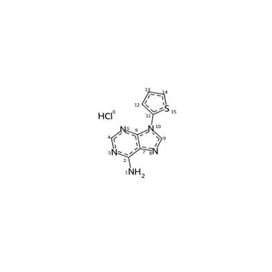 Cl.Nc1ncnc2c1ncn2-c1cccs1